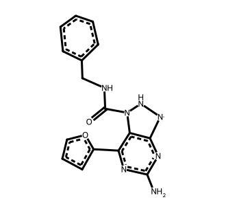 Nc1nc2c(c(-c3ccco3)n1)N(C(=O)NCc1ccccc1)N[N]2